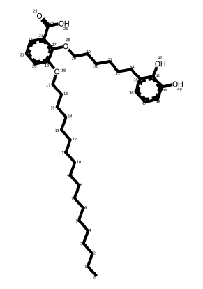 CCCCCCCCCCCCCCCCCCOc1cccc(C(=O)O)c1OCCCCCCc1cccc(O)c1O